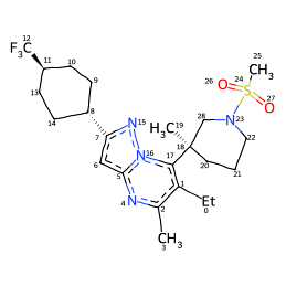 CCc1c(C)nc2cc([C@H]3CC[C@H](C(F)(F)F)CC3)nn2c1[C@]1(C)CCCN(S(C)(=O)=O)C1